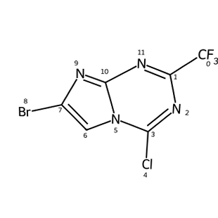 FC(F)(F)c1nc(Cl)n2cc(Br)nc2n1